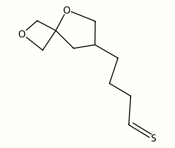 S=CCCCC1COC2(COC2)C1